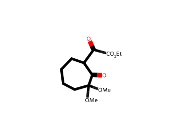 CCOC(=O)C(=O)C1CCCCC(OC)(OC)C1=O